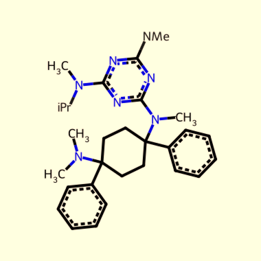 CNc1nc(N(C)C(C)C)nc(N(C)C2(c3ccccc3)CCC(c3ccccc3)(N(C)C)CC2)n1